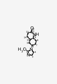 Cc1nccn1-c1ccc2[nH]c(=O)ccc2c1